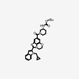 CC(C)(C)OC(=O)N[C@@H]1CCCN(C(=O)c2cc3c4c(c2)nc(-c2cc5ccccc5n2CC2CC2)n4CCO3)C1